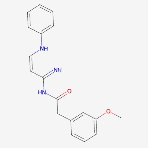 COc1cccc(CC(=O)NC(=N)/C=C\Nc2ccccc2)c1